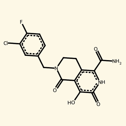 NC(=O)c1[nH]c(=O)c(O)c2c1CCN(Cc1ccc(F)c(Cl)c1)C2=O